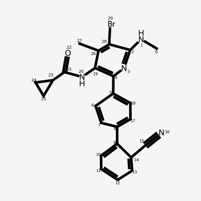 CNc1nc(-c2ccc(-c3ccccc3C#N)cc2)c(NC(=O)C2CC2)c(C)c1Br